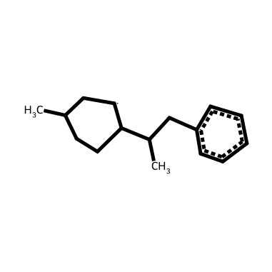 CC1C[CH]C(C(C)Cc2ccccc2)CC1